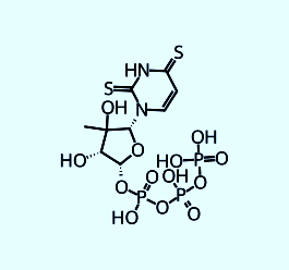 CC1(O)[C@@H](O)[C@@H](OP(=O)(O)OP(=O)(O)OP(=O)(O)O)O[C@H]1n1ccc(=S)[nH]c1=S